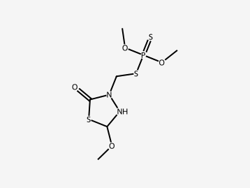 COC1NN(CSP(=S)(OC)OC)C(=O)S1